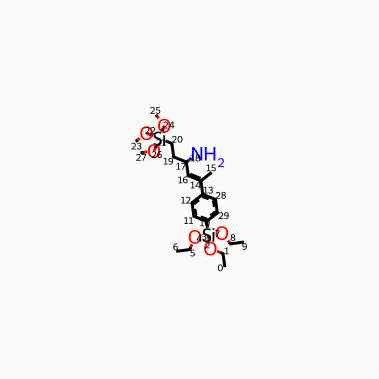 CCO[Si](OCC)(OCC)c1ccc(C(C)=CC(N)CC[Si](OC)(OC)OC)cc1